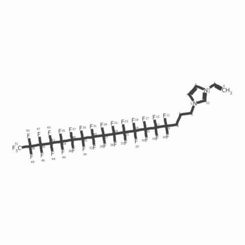 C=C[n+]1ccn(CCCC(F)(F)C(F)(F)C(F)(F)C(F)(F)C(F)(F)C(F)(F)C(F)(F)C(F)(F)C(F)(F)C(F)(F)C(F)(F)C(F)(F)C(F)(F)C(F)(F)C(F)(F)F)c1